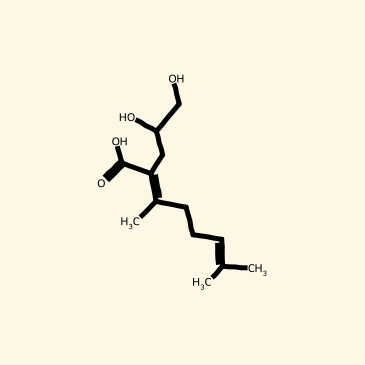 CC(C)=CCC/C(C)=C(\CC(O)CO)C(=O)O